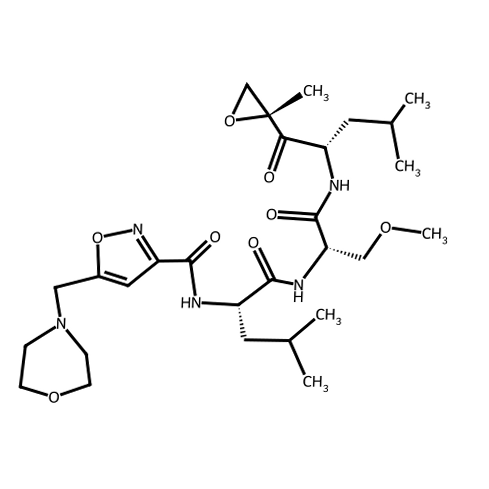 COC[C@H](NC(=O)[C@H](CC(C)C)NC(=O)c1cc(CN2CCOCC2)on1)C(=O)N[C@@H](CC(C)C)C(=O)[C@@]1(C)CO1